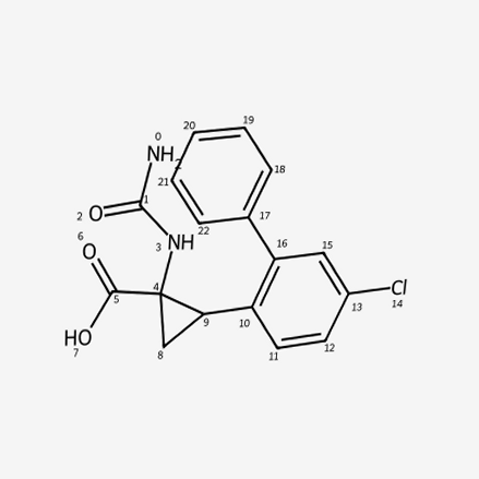 NC(=O)NC1(C(=O)O)CC1c1ccc(Cl)cc1-c1ccccc1